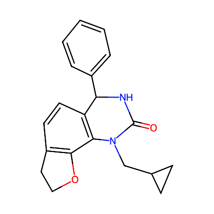 O=C1NC(c2ccccc2)c2ccc3c(c2N1CC1CC1)OCC3